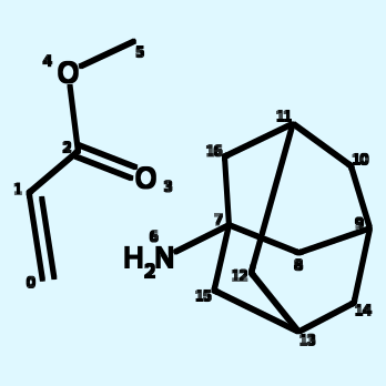 C=CC(=O)OC.NC12CC3CC(CC(C3)C1)C2